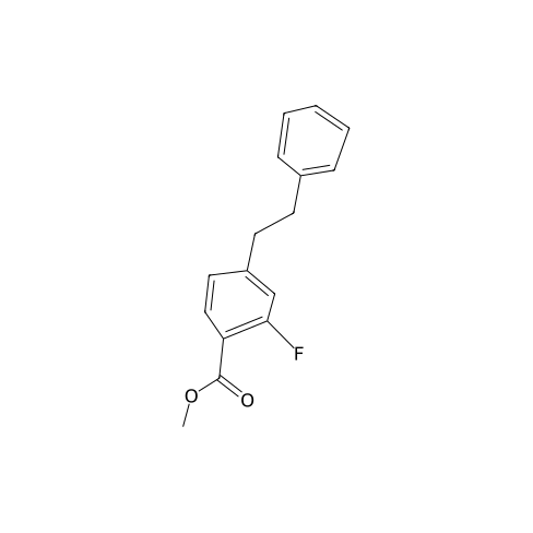 COC(=O)c1ccc(CCc2ccccc2)cc1F